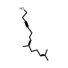 CC(C)=CCCC(C)=CCCC#CCCO